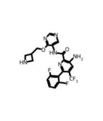 Nc1cc(C(F)(F)F)c(-c2c(F)cccc2F)nc1C(=O)Nc1cncnc1OCC1CNC1